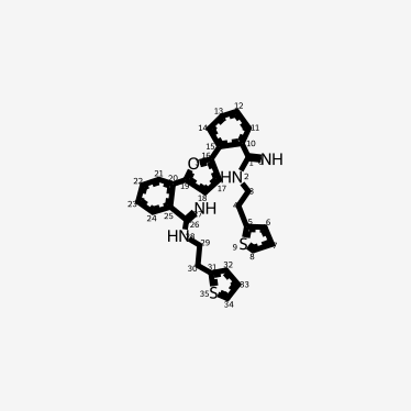 N=C(NCCc1cccs1)c1ccccc1-c1ccc(-c2ccccc2C(=N)NCCc2cccs2)o1